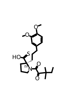 CCC(C)(C)C(=O)C(=O)N1CCC[C@@]1(CCCc1ccc(OC)c(OC)c1)C(O)=S